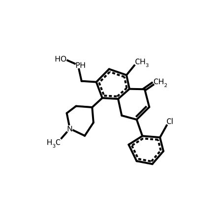 C=C1C=C(c2ccccc2Cl)Cc2c1c(C)cc(CPO)c2C1CCN(C)CC1